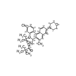 Cc1cc2nc(N3CCOCC3)ccc2c(-c2ccc(Cl)cc2)c1C(COC(=O)C(C)(C)C)OC(C)(C)C